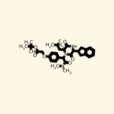 CC(C)CC1C(=O)NC(C2Cc3ccccc3C2)C(=O)N1C(C(=O)N(C)C)c1ccc(OCC(=O)OC(C)(C)C)cc1